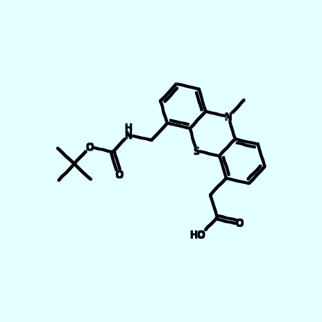 CN1c2cccc(CNC(=O)OC(C)(C)C)c2Sc2c(CC(=O)O)cccc21